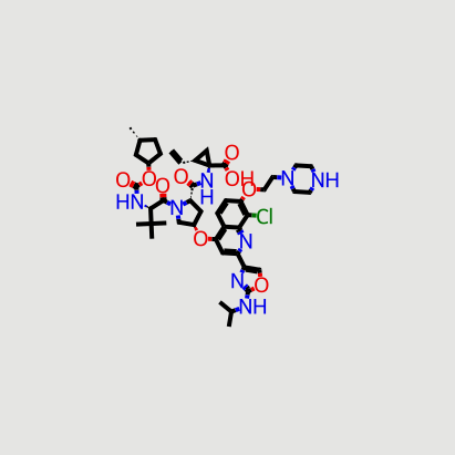 C=C[C@@H]1C[C@]1(NC(=O)[C@@H]1C[C@@H](Oc2cc(-c3coc(NC(C)C)n3)nc3c(Cl)c(OCCN4CCNCC4)ccc23)CN1C(=O)[C@@H](NC(=O)OC1CC[C@@H](C)C1)C(C)(C)C)C(=O)O